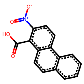 O=C(O)c1c([N+](=O)[O-])ccc2c1ccc1ccccc12